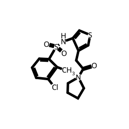 Cc1c(Cl)cccc1S(=O)(=O)Nc1cscc1CC(=O)N1CCCC1